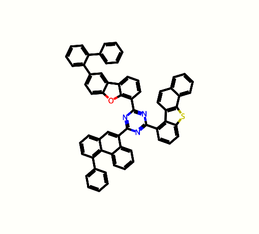 c1ccc(-c2ccccc2-c2ccc3oc4c(-c5nc(-c6cc7cccc(-c8ccccc8)c7c7ccccc67)nc(-c6cccc7sc8c9ccccc9ccc8c67)n5)cccc4c3c2)cc1